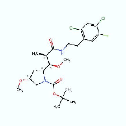 CO[C@@H]1C[C@H]([C@H](OC)[C@@H](C)C(=O)NCCc2cc(F)c(Cl)cc2Cl)N(C(=O)OC(C)(C)C)C1